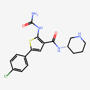 NC(=O)Nc1sc(-c2ccc(Cl)cc2)cc1C(=O)N[C@H]1CCCNC1